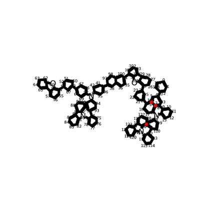 c1ccc(-c2cccc(-c3ccccc3N(c3ccc(-c4cccc(-c5cccc6c5oc5c(-c7ccc8cc(-c9ccc(N(c%10ccc(-c%11cccc(-c%12cccc%13c%12oc%12ccccc%12%13)c%11)cc%10)c%10ccc(-c%11ccccc%11-n%11c%12ccccc%12c%12ccccc%12%11)cc%10)cc9)ccc8c7)cccc56)c4)cc3)c3ccc(-c4ccccc4-n4c5ccccc5c5ccccc54)cc3)c2)cc1